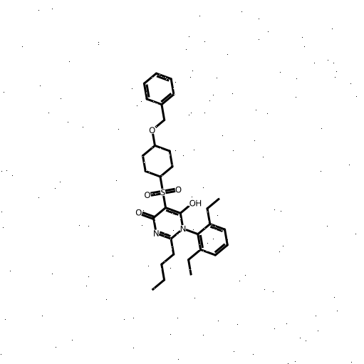 CCCCc1nc(=O)c(S(=O)(=O)C2CCC(OCc3ccccc3)CC2)c(O)n1-c1c(CC)cccc1CC